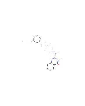 CC(c1nc2ccccc2c(=O)n1C)N1CCN(S(=O)(=O)c2cccc(C(=O)O)c2)CC1